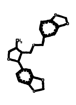 CC1COC(c2ccc3c(c2)OCO3)C1COCc1ccc2c(c1)OCO2